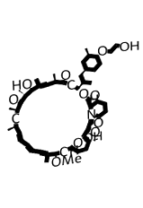 CO[C@H]1C[C@@H]2CC[C@@H](C)[C@@](O)(O2)C(=O)C(=O)N2CCCC[C@H]2C(=O)O[C@H](C(C)C[C@@H]2CC[C@@H](OCCO)[C@H](C)C2)CC(=O)[C@H](C)/C=C(\C)[C@@H](O)[C@@H](C)C(=O)[C@H](C)C[C@H](C)/C=C/C=C/C=C/1C